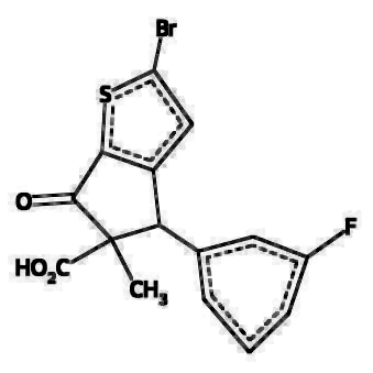 CC1(C(=O)O)C(=O)c2sc(Br)cc2C1c1cccc(F)c1